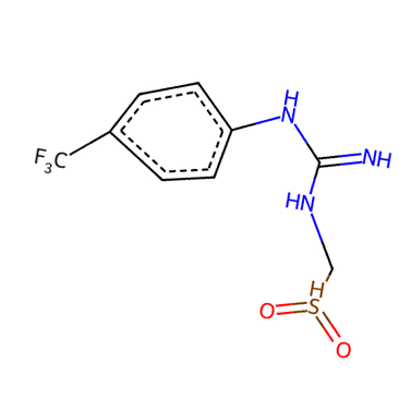 N=C(NC[SH](=O)=O)Nc1ccc(C(F)(F)F)cc1